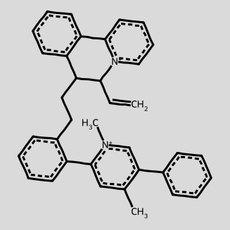 C=CC1C(CCc2ccccc2-c2cc(C)c(-c3ccccc3)c[n+]2C)c2ccccc2-c2cccc[n+]21